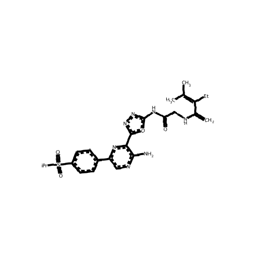 C=C(NCC(=O)Nc1nnc(-c2nc(-c3ccc(S(=O)(=O)C(C)C)cc3)cnc2N)o1)C(CC)=C(C)C